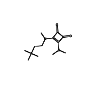 CN(C)c1c(N(C)CCC(C)(C)C)c(=O)c1=O